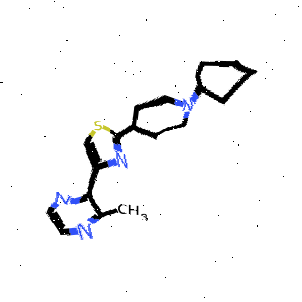 Cc1nccnc1-c1csc(C2CCN(C3CCCC3)CC2)n1